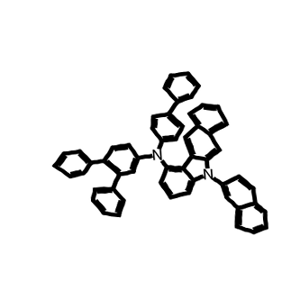 c1ccc(-c2ccc(N(c3ccc(-c4ccccc4)c(-c4ccccc4)c3)c3cccc4c3c3cc5ccccc5cc3n4-c3ccc4ccccc4c3)cc2)cc1